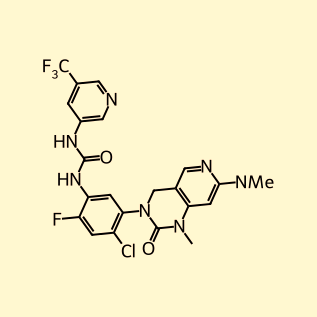 CNc1cc2c(cn1)CN(c1cc(NC(=O)Nc3cncc(C(F)(F)F)c3)c(F)cc1Cl)C(=O)N2C